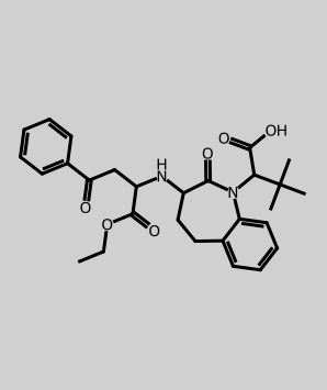 CCOC(=O)C(CC(=O)c1ccccc1)NC1CCc2ccccc2N(C(C(=O)O)C(C)(C)C)C1=O